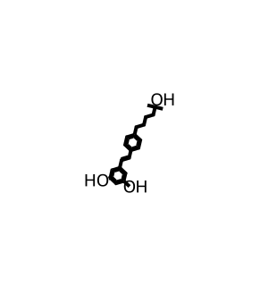 CC(C)(O)CCCCc1ccc(C=Cc2cc(O)cc(O)c2)cc1